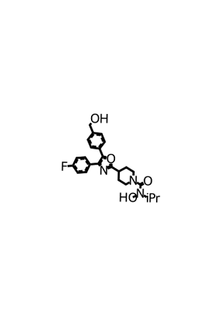 CC(C)N(O)C(=O)N1CCC(c2nc(-c3ccc(F)cc3)c(-c3ccc(CO)cc3)o2)CC1